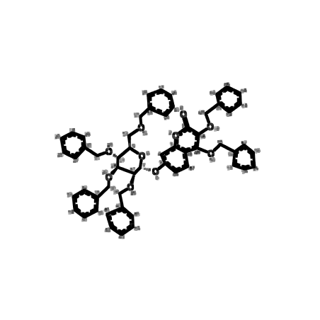 O=c1oc2cc(O[C@H]3O[C@H](COCc4ccccc4)[C@@H](OCc4ccccc4)[C@H](OCc4ccccc4)[C@@H]3OCc3ccccc3)ccc2c(OCc2ccccc2)c1OCc1ccccc1